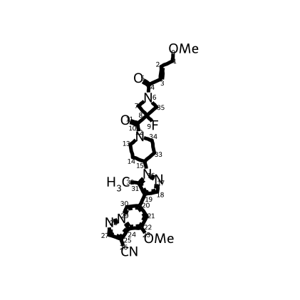 COC/C=C/C(=O)N1CC(F)(C(=O)N2CCC(n3ncc(-c4cc(OC)c5c(C#N)cnn5c4)c3C)CC2)C1